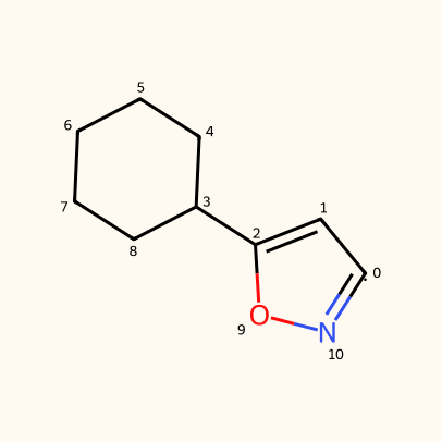 [c]1cc(C2CCCCC2)on1